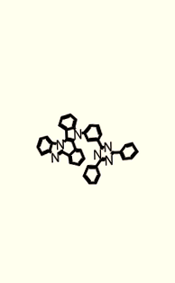 c1ccc(-c2nc(-c3ccccc3)nc(-c3cccc(-n4c5ccccc5c5c4c4ccccc4c4nc6ccccc6n45)c3)n2)cc1